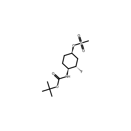 CC(C)(C)OC(=O)N[C@H]1CC[C@@H](OS(C)(=O)=O)C[C@@H]1F